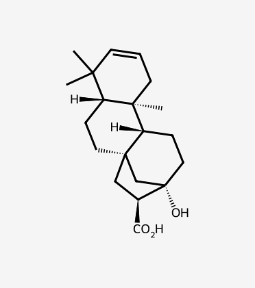 CC1(C)C=CC[C@]2(C)[C@@H]1CC[C@]13C[C@H](C(=O)O)[C@](O)(CC[C@H]12)C3